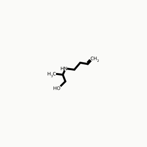 C=CCCNC(C)CO